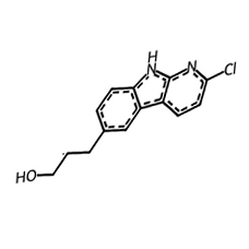 OC[CH]Cc1ccc2[nH]c3nc(Cl)ccc3c2c1